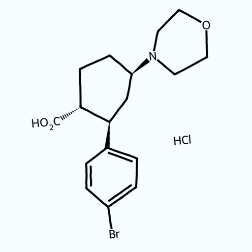 Cl.O=C(O)[C@@H]1CC[C@@H](N2CCOCC2)C[C@H]1c1ccc(Br)cc1